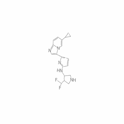 FC(F)C1CNCC1Nc1cccc(-c2cnc3ccc(C4CC4)cn23)n1